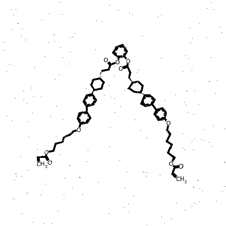 C=CC(=O)OCCCCCCOc1ccc(-c2ccc([C@H]3CC[C@H](CCC(=O)Oc4ccccc4OC(=O)CC[C@H]4CC[C@H](c5ccc(-c6ccc(OCCCCCCOC(=O)C=C)cc6)cc5)CC4)CC3)cc2)cc1